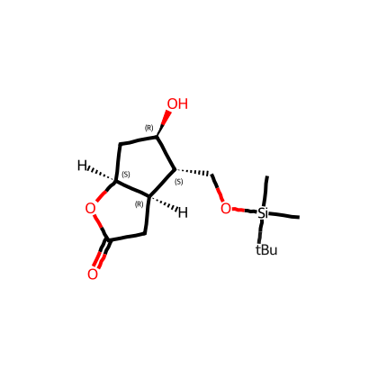 CC(C)(C)[Si](C)(C)OC[C@@H]1[C@H]2CC(=O)O[C@H]2C[C@H]1O